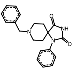 O=C1NC(=O)C2(CCN(Cc3ccccc3)CC2)N1c1ccccc1